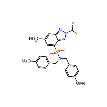 COc1ccc(CN(Cc2ccc(OC)cc2)S(=O)(=O)c2cc(C(=O)O)cc3nn(C(F)F)cc23)cc1